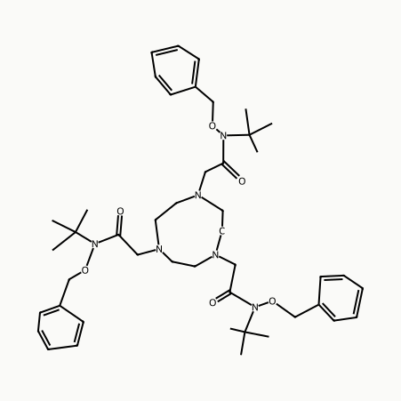 CC(C)(C)N(OCc1ccccc1)C(=O)CN1CCN(CC(=O)N(OCc2ccccc2)C(C)(C)C)CCN(CC(=O)N(OCc2ccccc2)C(C)(C)C)CC1